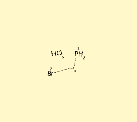 Cl.PCBr